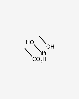 CC(=O)O.CC(C)O.CO